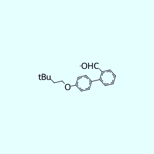 CC(C)(C)CCOc1ccc(-c2ccccc2[C]=O)cc1